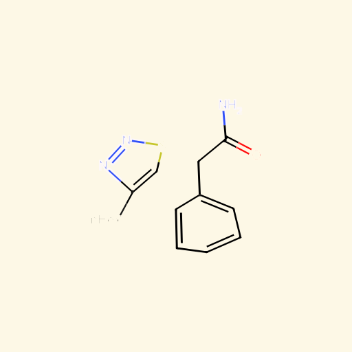 CCCCCCc1csnn1.NC(=O)Cc1ccccc1